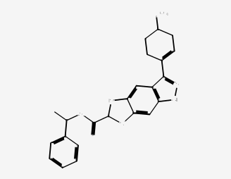 COC1CC=C(c2n[nH]c3cc4c(cc23)NC(C(=O)NC(C)c2ccccc2)N4)CC1